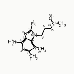 CCc1nc2c(N)nc(C)c(C)c2n1CCC[S+](C)[O-]